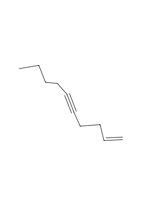 C=CCCC#CCCCC